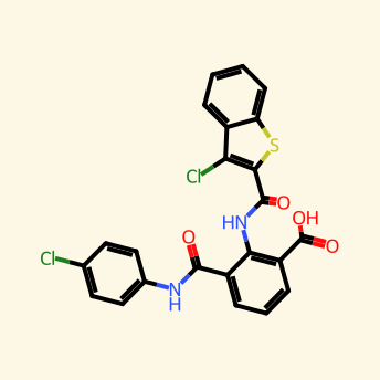 O=C(O)c1cccc(C(=O)Nc2ccc(Cl)cc2)c1NC(=O)c1sc2ccccc2c1Cl